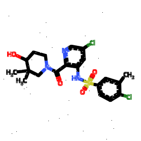 Cc1cc(S(=O)(=O)Nc2cc(Cl)cnc2C(=O)N2CCC(O)C(C)(C)C2)ccc1Cl